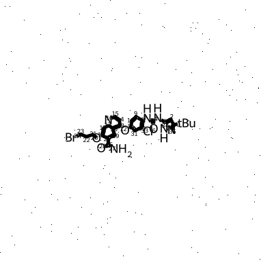 CC(C)(C)c1cc(NC(=O)Nc2ccc(Oc3ccnc4cc(OCCCBr)c(C(N)=O)cc34)cc2Cl)[nH]n1